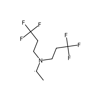 C[CH]N(CCC(F)(F)F)CCC(F)(F)F